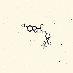 CC(C)(C)OC(=O)N1CCC(CNC(=O)c2cc3cc(Cl)ccc3o2)C1